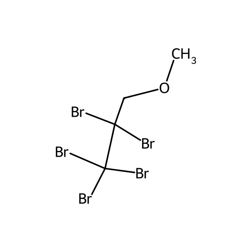 COCC(Br)(Br)C(Br)(Br)Br